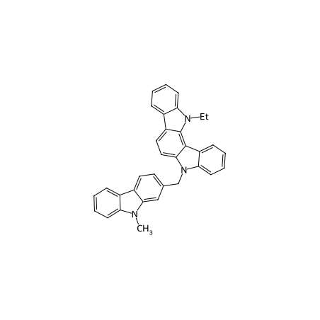 CCn1c2ccccc2c2ccc3c(c4ccccc4n3Cc3ccc4c5ccccc5n(C)c4c3)c21